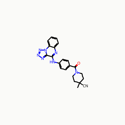 CC1(C#N)CCN(C(=O)c2ccc(Nc3nc4ccccc4n4nnnc34)cc2)CC1